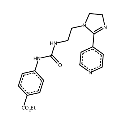 CCOC(=O)c1ccc(NC(=O)NCCN2CCN=C2c2ccncc2)cc1